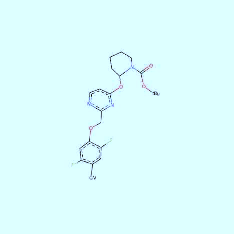 CC(C)(C)OC(=O)N1CCCCC1Oc1ccnc(COc2cc(F)c(C#N)cc2F)n1